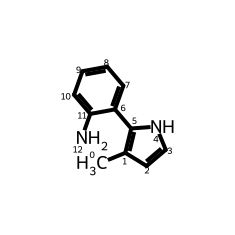 Cc1cc[nH]c1-c1ccccc1N